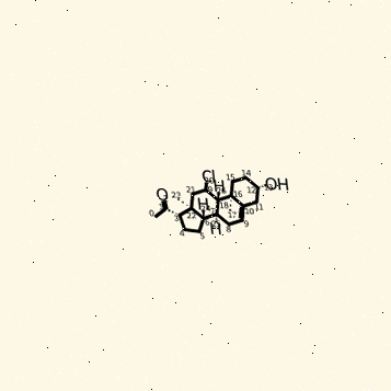 CC(=O)[C@H]1CC[C@H]2[C@@H]3CC=C4C[C@@H](O)CC[C@]4(C)[C@H]3C(Cl)C[C@]12C